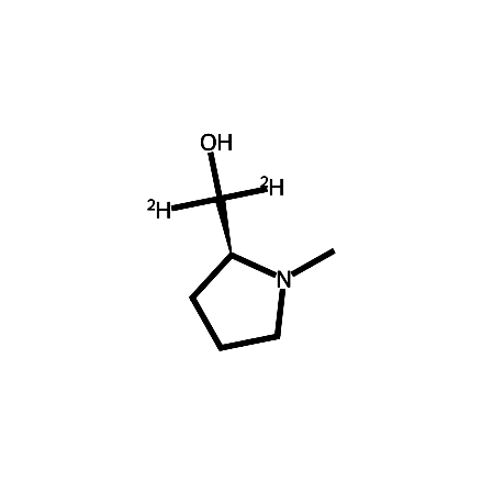 [2H]C([2H])(O)[C@@H]1CCCN1C